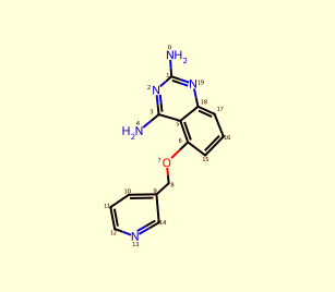 Nc1nc(N)c2c(OCc3cccnc3)cccc2n1